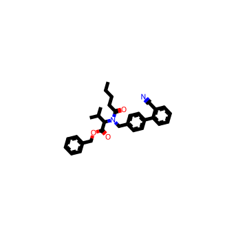 CCCCC(=O)N(Cc1ccc(-c2ccccc2C#N)cc1)C(C(=O)OCc1ccccc1)C(C)C